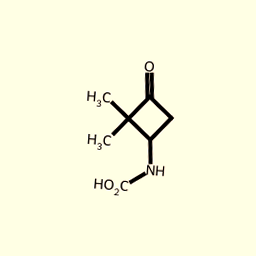 CC1(C)C(=O)CC1NC(=O)O